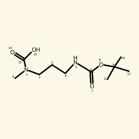 CN(CCCNC(=O)OC(C)(C)C)C(=O)O